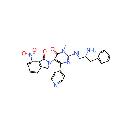 Cn1c(NCC(N)Cc2ccccc2)nc(-c2ccncc2)c(N2Cc3cccc([N+](=O)[O-])c3C2=O)c1=O